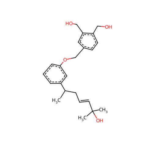 CC(CC=CC(C)(C)O)c1cccc(OCc2ccc(CO)c(CO)c2)c1